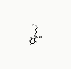 OCCCOB(O)c1cccnc1